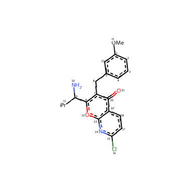 COc1cccc(Cc2c(C(N)C(C)C)oc3nc(Cl)ccc3c2=O)c1